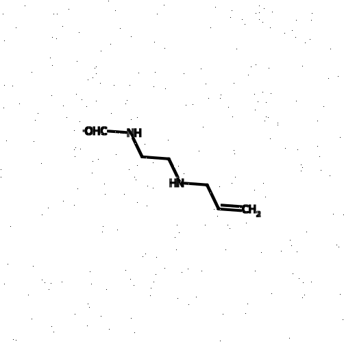 C=CCNCCN[C]=O